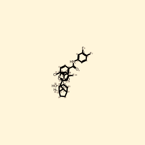 O=C(Nc1ccc(F)c(F)c1)c1ccc(Cl)c(S(=O)(=O)[C@@H]2CC3CC[C@@H](C2)[C@@]3(O)[C@H](O)c2cc(F)ccn2)c1